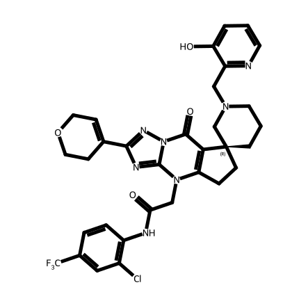 O=C(Cn1c2c(c(=O)n3nc(C4=CCOCC4)nc13)[C@@]1(CCCN(Cc3ncccc3O)C1)CC2)Nc1ccc(C(F)(F)F)cc1Cl